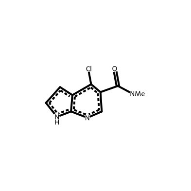 CNC(=O)c1cnc2[nH]ccc2c1Cl